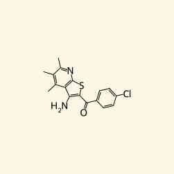 Cc1nc2sc(C(=O)c3ccc(Cl)cc3)c(N)c2c(C)c1C